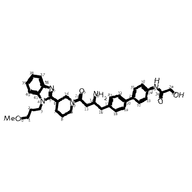 COCCCn1c(C2CCCN(C(=O)CC(N)Cc3ccc(-c4ccc(NC(=O)CO)cc4)cc3)C2)nc2ccccc21